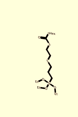 CCCCCCC(=O)SCCSCCC[Si](OCC)(OCC)OCC